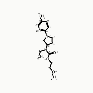 CCN(C(=O)OCCOC)C1CCN(c2ccc(C)cn2)C1